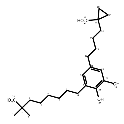 CC(C)(CCCCCCc1cc(CCCCC2(C(=O)O)CC2)cc(O)c1O)C(=O)O